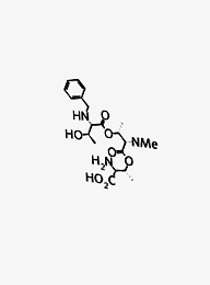 CN[C@H](C(=O)O[C@H](C)[C@H](N)C(=O)O)[C@@H](C)OC(=O)[C@@H](NCc1ccccc1)[C@@H](C)O